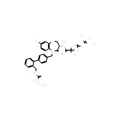 CNC(=O)NCc1ccccc1-c1ccc(CN2C(=O)[C@H](NC(=O)C(C)(C)NC(=O)OC(C)(C)C)CSc3cc(F)ccc32)cc1